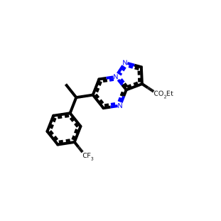 CCOC(=O)c1cnn2cc(C(C)c3cccc(C(F)(F)F)c3)cnc12